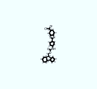 O=C(Nc1ccc(-c2nc3ccc(C(=O)Cl)cc3s2)cc1)OCC1c2ccccc2-c2ccccc21